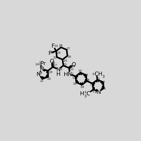 Cc1ccnc(C)c1-c1ccc(NC(=O)C(NC(=O)c2ccnn2C(C)C)C2CCCC(F)(F)C2)cc1